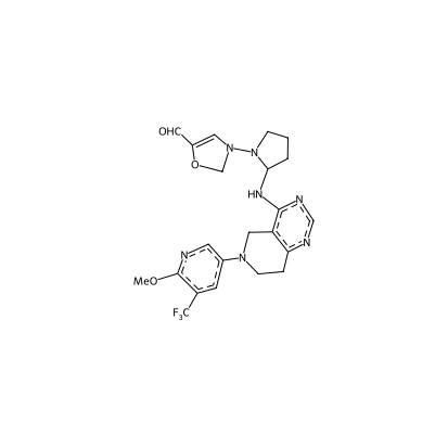 COc1ncc(N2CCc3ncnc(NC4CCCN4N4C=C(C=O)OC4)c3C2)cc1C(F)(F)F